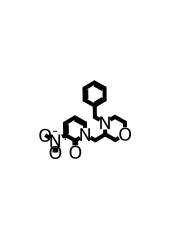 O=c1c([N+](=O)[O-])cccn1CC1COCCN1Cc1ccccc1